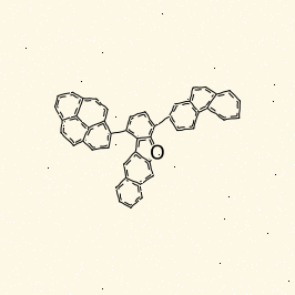 c1ccc2cc3c(cc2c1)oc1c(-c2ccc4c(ccc5ccccc54)c2)ccc(-c2ccc4ccc5cccc6ccc2c4c56)c13